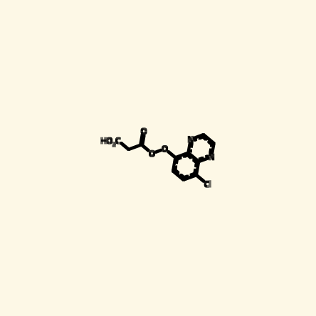 O=C(O)CC(=O)OOc1ccc(Cl)c2nccnc12